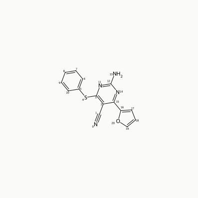 N#Cc1c(Sc2ccccc2)nc(N)nc1-c1ccco1